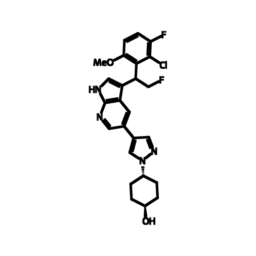 COc1ccc(F)c(Cl)c1C(CF)c1c[nH]c2ncc(-c3cnn([C@H]4CC[C@H](O)CC4)c3)cc12